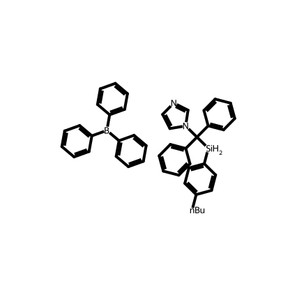 CCCCc1ccc([SiH2]C(c2ccccc2)(c2ccccc2)n2ccnc2)cc1.c1ccc(B(c2ccccc2)c2ccccc2)cc1